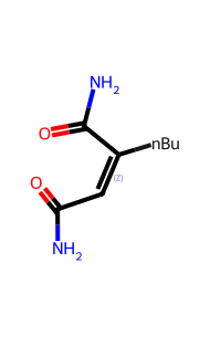 CCCC/C(=C/C(N)=O)C(N)=O